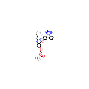 CCCCc1nc2ccc(OCCOC(C)=O)cc2c(=O)n1Cc1ccc(-c2ccccc2-c2nnn[nH]2)cc1